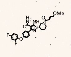 COCC=CC(=O)N1CCC[C@@H](n2nc(-c3ccc(Oc4ccc(F)cc4F)cc3)c(C(N)=O)c2N)C1